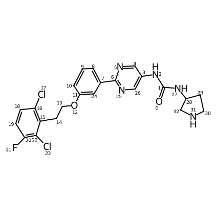 O=C(Nc1cnc(-c2cccc(OCCc3c(Cl)ccc(F)c3Cl)c2)nc1)NC1CCNC1